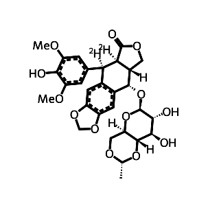 [2H][C@@]1(c2cc(OC)c(O)c(OC)c2)c2cc3c(cc2[C@@H](O[C@@H]2O[C@@H]4CO[C@@H](C)O[C@H]4[C@H](O)[C@H]2O)[C@H]2COC(=O)[C@@]21[2H])OCO3